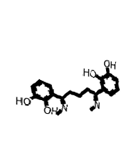 CN=C(CCCC(=NC)c1cccc(O)c1O)c1cccc(O)c1O